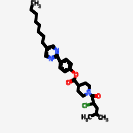 CCCCCCCCc1cnc(-c2ccc(OC(=O)C3CCN(C(=O)C(Cl)CC(C)C)CC3)cc2)nc1